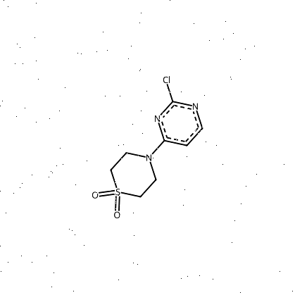 O=S1(=O)CCN(c2ccnc(Cl)n2)CC1